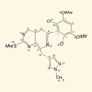 COc1cc(OC)c(Cl)c(-c2cc3cnc(SC)nc3c(Cc3cnn(C)c3)n2)c1Cl